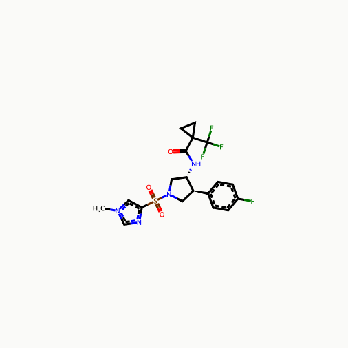 Cn1cnc(S(=O)(=O)N2C[C@H](NC(=O)C3(C(F)(F)F)CC3)[C@@H](c3ccc(F)cc3)C2)c1